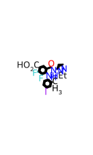 CCn1nccc1NC(=O)c1cc(C(=O)O)c(F)c(F)c1Nc1ccc(I)cc1C